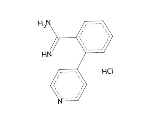 Cl.N=C(N)c1ccccc1-c1ccncc1